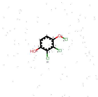 Oc1ccc(OCl)c(Cl)c1Cl